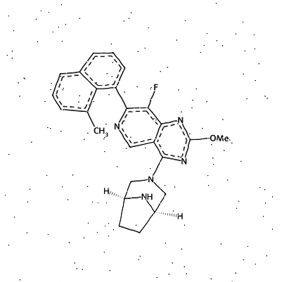 COc1nc(N2C[C@H]3CC[C@@H](C2)N3)c2cnc(-c3cccc4cccc(C)c34)c(F)c2n1